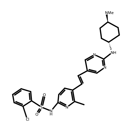 CN[C@H]1CC[C@H](Nc2ncc(/C=C/c3ccc(NS(=O)(=O)c4ccccc4Cl)nc3C)cn2)CC1